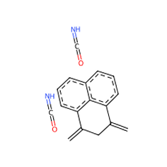 C=C1CC(=C)c2cccc3cccc1c23.N=C=O.N=C=O